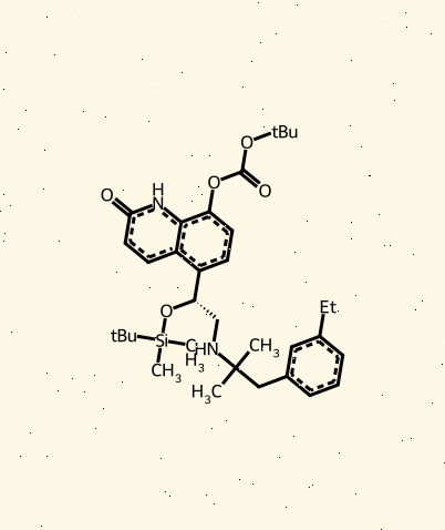 CCc1cccc(CC(C)(C)NC[C@H](O[Si](C)(C)C(C)(C)C)c2ccc(OC(=O)OC(C)(C)C)c3[nH]c(=O)ccc23)c1